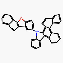 c1ccc2c(c1)ccc1c3cc(-n4c5ccccc5c5c6ccccc6c6c7ccccc7ccc6c54)ccc3oc21